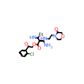 CCC(=N)/C(C(=O)OCC(=O)c1ccccc1Cl)=C(/N)NCCN1CCOCC1=O